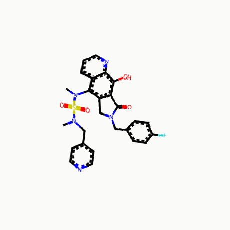 CN(Cc1ccncc1)S(=O)(=O)N(C)c1c2c(c(O)c3ncccc13)C(=O)N(Cc1ccc(F)cc1)C2